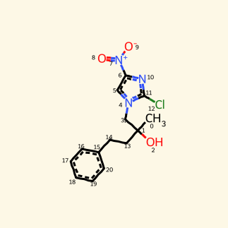 CC(O)([CH]n1cc([N+](=O)[O-])nc1Cl)CCc1ccccc1